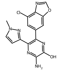 Cn1ccc(-c2nc(N)c(O)nc2-c2cc(Cl)c3ncoc3c2)n1